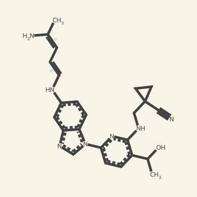 C/C(N)=C/C=C/Nc1ccc2c(c1)ncn2-c1ccc(C(C)O)c(NCC2(C#N)CC2)n1